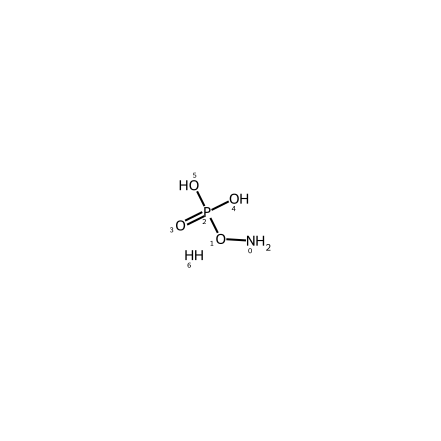 NOP(=O)(O)O.[HH]